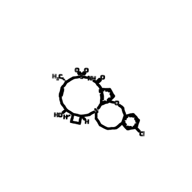 C[C@H]1/C=C\CC(O)[C@@H]2CC[C@H]2CN2CCCCc3cc(Cl)ccc3COc3ccc(cc32)C(=O)NS(=O)(=O)C1